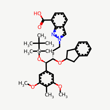 COc1cc([C@@H](O[Si](C)(C)C(C)(C)C)[C@H](CCn2cc3cccc(C(=O)O)c3n2)OC2Cc3ccccc3C2)cc(OC)c1C